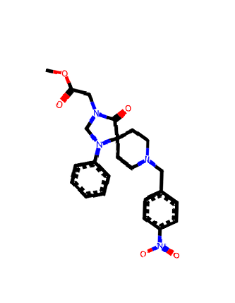 COC(=O)CN1CN(c2ccccc2)C2(CCN(Cc3ccc([N+](=O)[O-])cc3)CC2)C1=O